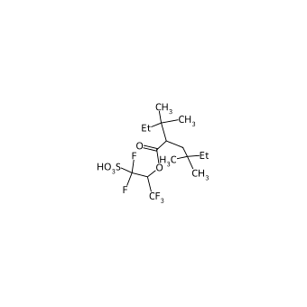 CCC(C)(C)CC(C(=O)OC(C(F)(F)F)C(F)(F)S(=O)(=O)O)C(C)(C)CC